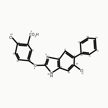 O=C(O)c1cc(Oc2nc3cc(-c4ccccc4)c(Cl)cc3[nH]2)ccc1Cl